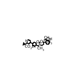 CCOC(=O)C1(c2cc(-c3ccc([C@H](C)N4CC[C@](CC(C)(C)O)(c5ccccc5)OC4=O)cc3)ccn2)CC1